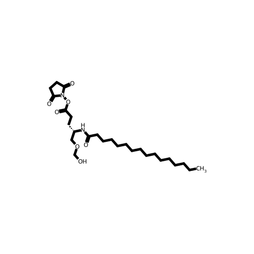 CCCCCCCCCCCCCCCC(=O)N[C@@H](CCC(=O)ON1C(=O)CCC1=O)COCO